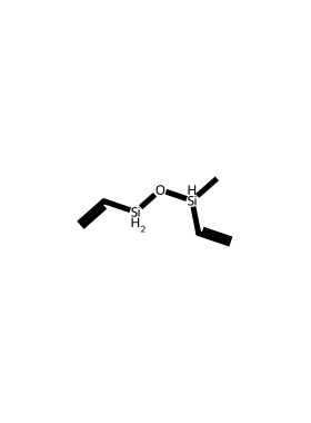 C=C[SiH2]O[SiH](C)C=C